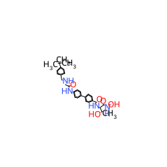 C[C@@H](O)[C@H](NC(=O)c1ccc(-c2ccc(NC(=O)CNCc3ccc(C(C)(C)C)cc3)cc2)cc1)C(=O)NO